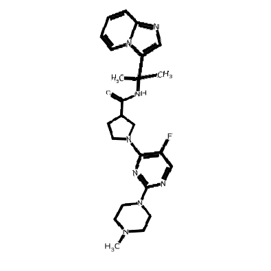 CN1CCN(c2ncc(F)c(N3CCC(C(=O)NC(C)(C)c4cnc5ccccn45)C3)n2)CC1